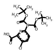 CC(C)(C)OC(=O)N(C(=O)OC(C)(C)C)c1ccc(Cl)c(C(=O)O)n1